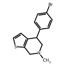 CN1Cc2sccc2C(c2ccc(Br)cc2)C1